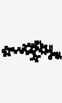 CC(C)NC(=O)Nc1ccc(-c2c(N)c3ccc(OCCSC4CCOC4)cc3n2C2CCC2)cc1